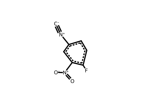 [C-]#[N+]c1ccc(F)c([N+](=O)[O-])c1